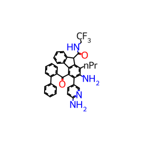 CCCc1c(N)c(-c2ccc(N)nc2)c(C(=O)c2ccccc2-c2ccccc2)c2c1C(C(=O)NCC(F)(F)F)c1ccccc1-2